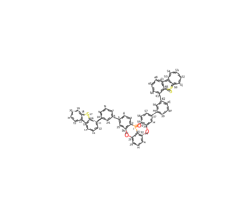 O=P12c3ccc(-c4cccc(-c5cccc6c5sc5ccccc56)c4)cc3Oc3cccc(c31)Oc1cc(-c3cccc(-c4cccc5c4sc4ccccc45)c3)ccc12